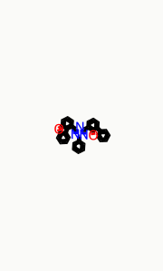 C1=CCC(c2nc(-c3cccc4c3oc3ccccc34)nc(-c3cccc4oc5ccccc5c34)n2)C=C1